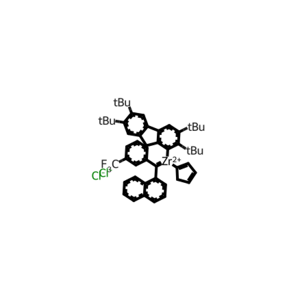 CC(C)(C)c1cc2c(cc1C(C)(C)C)-c1cc(C(C)(C)C)c(C(C)(C)C)[c](/[Zr+2]([C]3=CC=CC3)=[C](\c3cccc(C(F)(F)F)c3)c3cccc4ccccc34)c1C2.[Cl-].[Cl-]